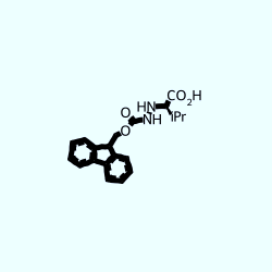 CC(C)[C@@H](NNC(=O)OCC1c2ccccc2-c2ccccc21)C(=O)O